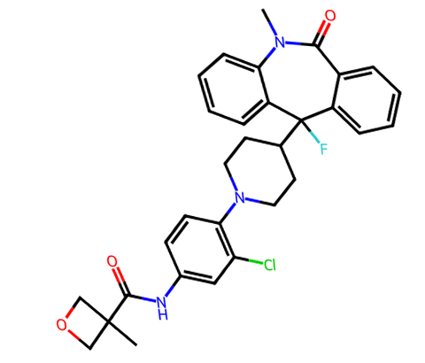 CN1C(=O)c2ccccc2C(F)(C2CCN(c3ccc(NC(=O)C4(C)COC4)cc3Cl)CC2)c2ccccc21